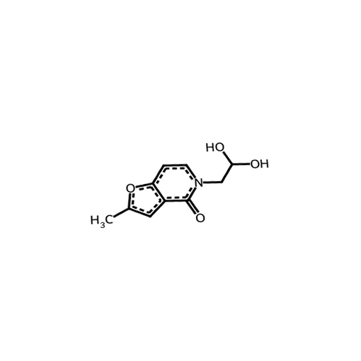 Cc1cc2c(=O)n(CC(O)O)ccc2o1